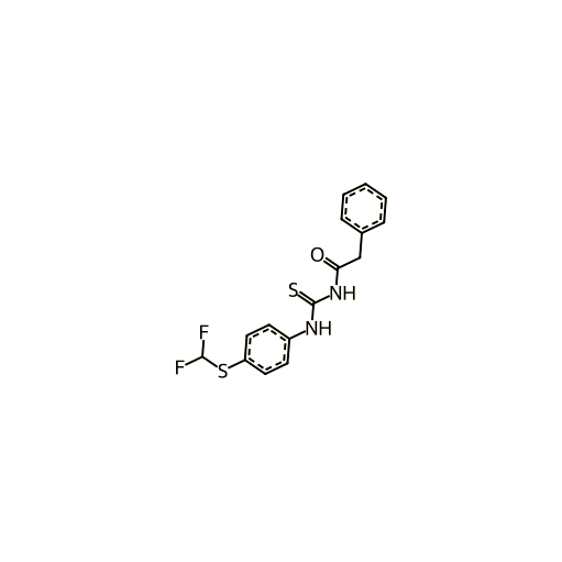 O=C(Cc1ccccc1)NC(=S)Nc1ccc(SC(F)F)cc1